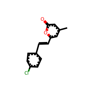 Cc1cc(C=Cc2ccc(Cl)cc2)oc(=O)c1